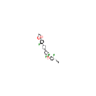 C=CCCc1ccc(OC(F)(F)C2CCC(C3CCC(c4ccc(C5OCC(C)CO5)cc4F)CC3)CC2)cc1F